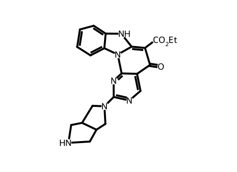 CCOC(=O)c1c(=O)c2cnc(N3CC4CNCC4C3)nc2n2c1[nH]c1ccccc12